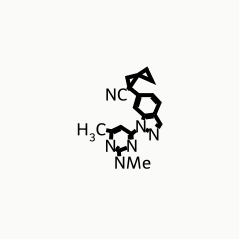 CNc1nc(C)cc(-n2ncc3ccc(C4(C#N)CC45CC5)cc32)n1